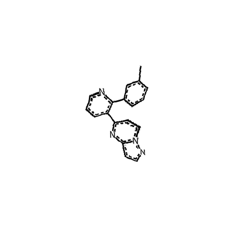 Cc1cccc(-c2ncccc2-c2ccn3nccc3n2)c1